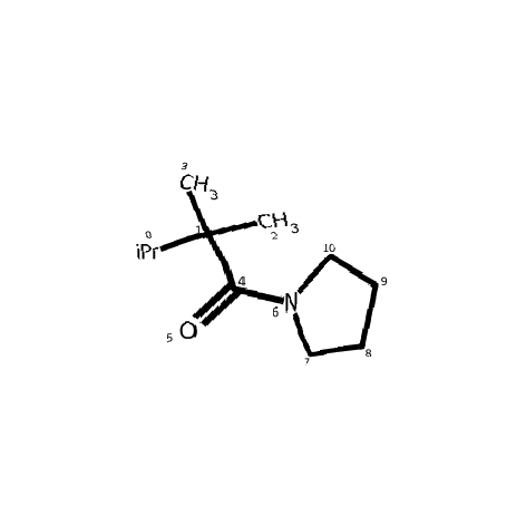 CC(C)C(C)(C)C(=O)N1CCCC1